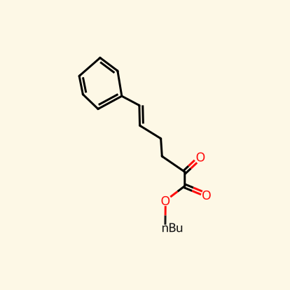 CCCCOC(=O)C(=O)CCC=Cc1ccccc1